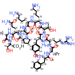 CC(C)[C@H](NC(=O)[C@H](CCC(N)=O)NC(=O)[C@@H]1CCCN1C(=O)[C@@H](NC(=O)[C@H](CCCCN)NC(=O)[C@H](CCCCN)NC(=O)[C@@H](NC(=O)[C@H](Cc1ccc(O)cc1)NC(=O)[C@H](CCCN=C(N)N)NC(=O)[C@@H](NC(=O)[C@@H](N)Cc1ccccc1)C(C)C)[C@@H](C)O)C(C)C)C(=O)N[C@@H](CO)C(=O)O